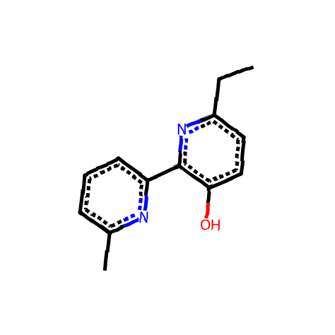 CCc1ccc(O)c(-c2cccc(C)n2)n1